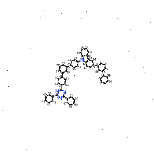 c1ccc(-c2cccc(-c3ccc4c(c3)c3ccccc3n4-c3ccc(-c4cccc(-c5ccc(-c6nc(-c7ccccc7)nc(-c7ccccc7)n6)cc5)c4)cc3)c2)cc1